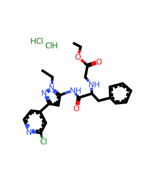 CCOC(=O)CNC(Cc1ccccc1)C(=O)Nc1cc(-c2ccnc(Cl)c2)nn1CC.Cl.Cl